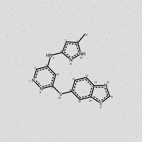 Cc1cc(Nc2cnnc(Sc3ccc4ncsc4c3)c2)n[nH]1